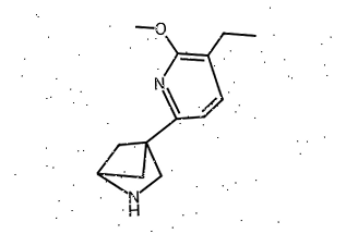 CCc1ccc(C23CNC(C2)C3)nc1OC